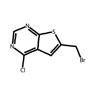 Clc1ncnc2sc(CBr)cc12